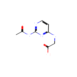 CC(=O)Nc1nccc(N[C@H](C)C(=O)O)n1